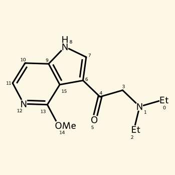 CCN(CC)CC(=O)c1c[nH]c2ccnc(OC)c12